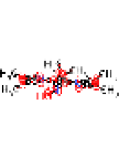 CCCCOC(=O)c1ccc2c3ccc4c5c(ccc(c6ccc(C(=O)OCCCC)c1c26)c53)C(=O)N(CCc1ccc(Oc2cc(C(=O)OCCCC)c3c(C(=O)OCCCC)ccc5c6c(Oc7ccc(CCN8C(=O)c9ccc%10c%11ccc(C(=O)OCCCC)c%12c(C(=O)OCCCC)ccc(c%13ccc(c9c%10%13)C8=O)c%12%11)cc7)cc7c8c(ccc(c2c35)c86)C(=O)N(CCCC(=O)O)C7=O)cc1)C4=O